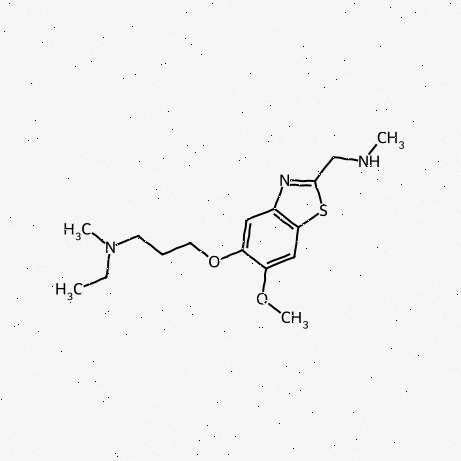 CCN(C)CCCOc1cc2nc(CNC)sc2cc1OC